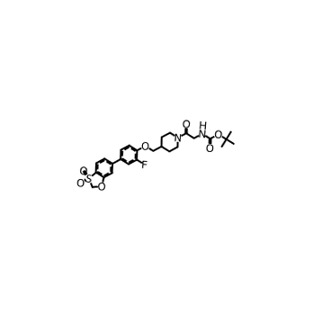 CC(C)(C)OC(=O)NCC(=O)N1CCC(COc2ccc(-c3ccc4c(c3)OCS4(=O)=O)cc2F)CC1